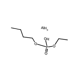 CCCCOP(=O)(O)OCC.[AlH3]